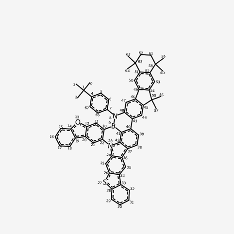 CC(C)(C)c1ccc(N2B3c4cc5oc6ccccc6c5cc4-n4c5cc6sc7ccccc7c6cc5c5ccc(c3c54)-c3cc4c(cc32)-c2cc3c(cc2C4(C)C)C(C)(C)CCC3(C)C)cc1